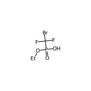 CCOP(=O)(O)C(F)(F)Br